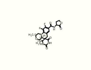 C[C@@H]1CN2c3c(cc(C(=O)NC4CCOC4=O)c(F)c3F)CC3(C(=O)NC(=O)NC3=O)[C@H]2[C@H](C)O1